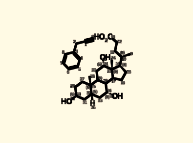 C#CCc1ccccc1.C[C@H](CCC(=O)O)[C@H]1CCC2C3C(C[C@H](O)[C@@]21C)[C@@]1(C)CC[C@H](O)C[C@H]1C[C@H]3O